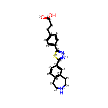 O=C(O)CCc1ccc(-c2nnc(-c3ccc4c(c3)CCNCC4)s2)cc1